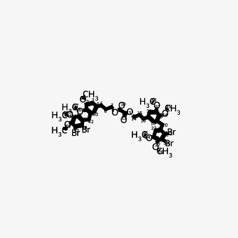 COc1cc(CCCOC(=O)C(=O)OCCCc2cc(Cc3cc(OC)c(OC)c(Br)c3Br)c(OC)c(OC)c2)cc(Cc2cc(OC)c(OC)c(Br)c2Br)c1OC